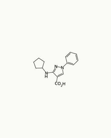 O=C(O)c1cn(-c2ccccc2)nc1NC1CCCC1